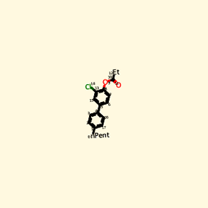 CCCCCc1ccc(-c2ccc(OC(=O)CC)c(Cl)c2)cc1